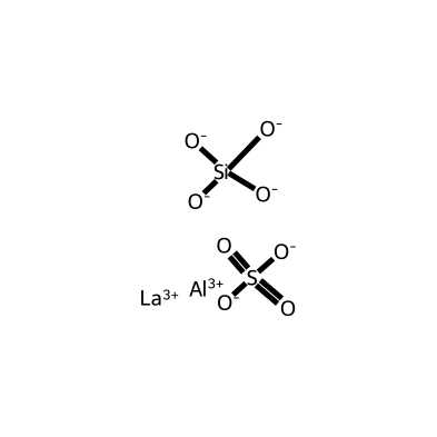 O=S(=O)([O-])[O-].[Al+3].[La+3].[O-][Si]([O-])([O-])[O-]